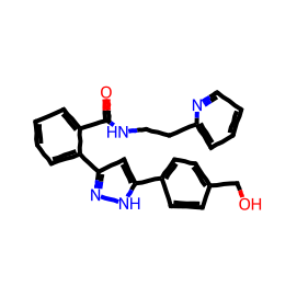 O=C(NCCc1ccccn1)c1ccccc1-c1cc(-c2ccc(CO)cc2)[nH]n1